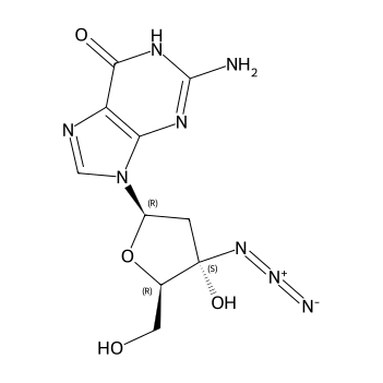 [N-]=[N+]=N[C@]1(O)C[C@H](n2cnc3c(=O)[nH]c(N)nc32)O[C@@H]1CO